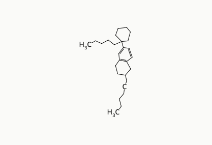 CCCCCCC1CCc2cc(C3(CCCCC)CCCCC3)ccc2C1